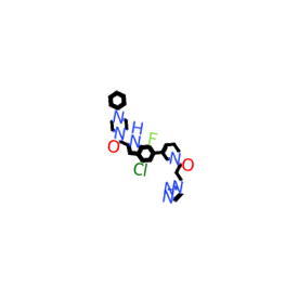 O=C(CCn1ccnn1)N1CCC=C(c2cc(Cl)c3cc(C(=O)N4CCN(c5ccccc5)CC4)[nH]c3c2F)C1